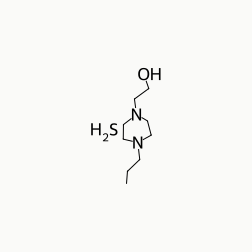 CCCN1CCN(CCO)CC1.S